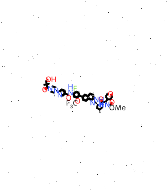 COC(=O)N[C@H](C(=O)N1C[C@@H](C)C[C@H]1c1nc2c(ccc3cc(-c4cc(F)c(NC(=O)c5ccc(N6CCN(C(=O)C(C)(C)CO)C[C@H]6C)nc5)cc4OC(F)(F)F)ccc32)[nH]1)C1CCOCC1